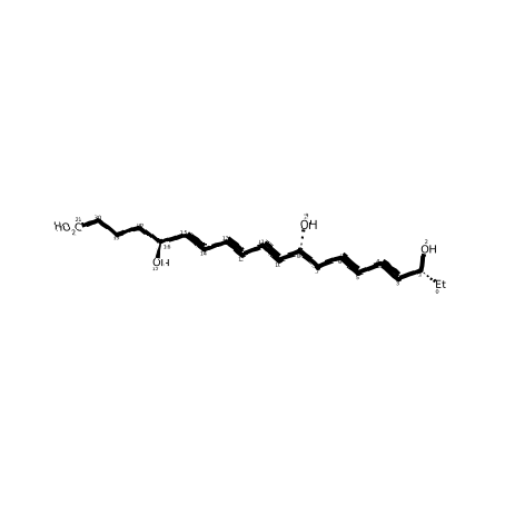 CC[C@@H](O)/C=C/C=C/C[C@@H](O)/C=C/C=C/C=C/[C@@H](O)CCCC(=O)O